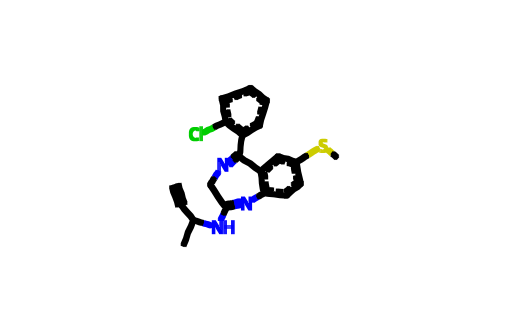 C#CC(C)NC1=Nc2ccc(SC)cc2C(c2ccccc2Cl)=NC1